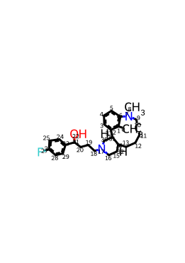 Cc1c2cccc1N(C)CCCCC[C@H]1CCN(CCCC(O)c3ccc(F)cc3)C[C@@H]21